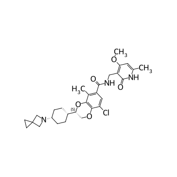 COc1cc(C)[nH]c(=O)c1CNC(=O)c1cc(Cl)c2c(c1C)O[C@@H]([C@H]1CC[C@@H](N3CC4(CC4)C3)CC1)CO2